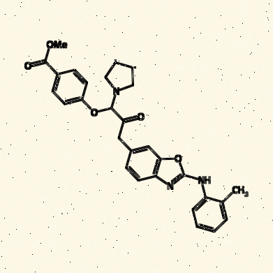 COC(=O)c1ccc(OC(C(=O)Cc2ccc3nc(Nc4ccccc4C)oc3c2)N2C[CH][CH]C2)cc1